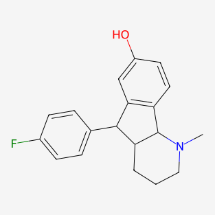 CN1CCCC2C(c3ccc(F)cc3)c3cc(O)ccc3C21